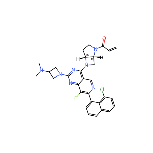 C=CC(=O)N1CC[C@@H]2[C@H]1CN2c1nc(N2CC(N(C)C)C2)nc2c(F)c(-c3cccc4cccc(Cl)c34)ncc12